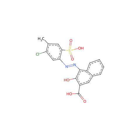 Cc1cc(S(=O)(=O)O)c(N=Nc2c(O)c(C(=O)O)cc3ccccc23)cc1Cl